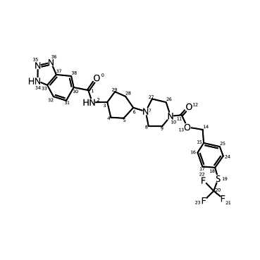 O=C(NC1CCC(N2CCN(C(=O)OCc3ccc(SC(F)(F)F)cc3)CC2)CC1)c1ccc2[nH]nnc2c1